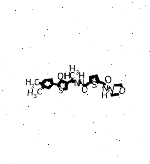 C/C(=N\NC(=O)c1ccc(C(=O)NN2CCOCC2)s1)c1csc(-c2ccc(C)c(C)c2)c1O